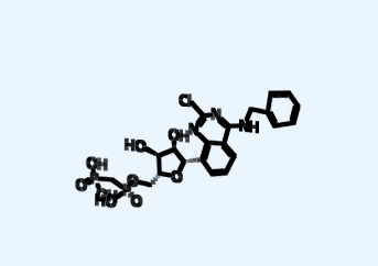 O=P(O)(O)CP(=O)(O)OC[C@H]1O[C@@H](c2cccc3c(NCc4ccccc4)nc(Cl)nc23)[C@H](O)[C@@H]1O